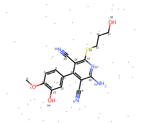 COc1ccc(-c2c(C#N)c(N)nc(SCCCO)c2C#N)cc1O